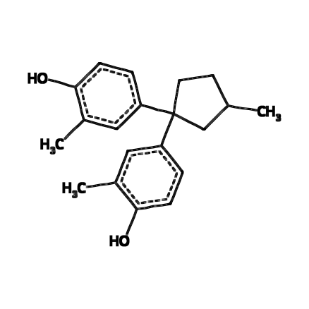 Cc1cc(C2(c3ccc(O)c(C)c3)CCC(C)C2)ccc1O